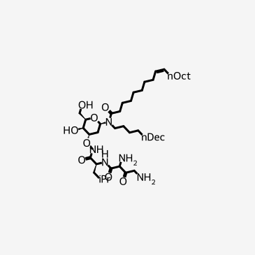 CCCCCCCC/C=C\CCCCCCCC(=O)N(CCCCCCCCCCCCCC)[C@H]1C[C@H](ONC(=O)[C@H](CC(C)C)NC(=O)C(N)C(=O)CN)[C@@H](O)[C@@H](CO)O1